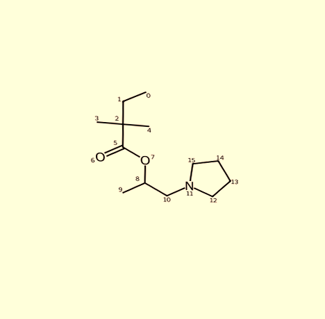 CCC(C)(C)C(=O)OC(C)CN1CCCC1